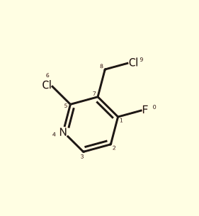 Fc1ccnc(Cl)c1CCl